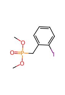 COP(=O)(Cc1ccccc1I)OC